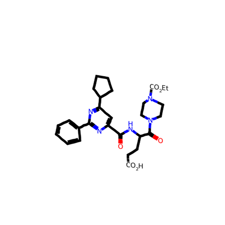 CCOC(=O)N1CCN(C(=O)C(CCC(=O)O)NC(=O)c2cc(C3CCCC3)nc(-c3ccccc3)n2)CC1